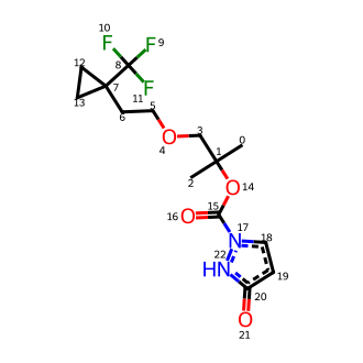 CC(C)(COCCC1(C(F)(F)F)CC1)OC(=O)n1ccc(=O)[nH]1